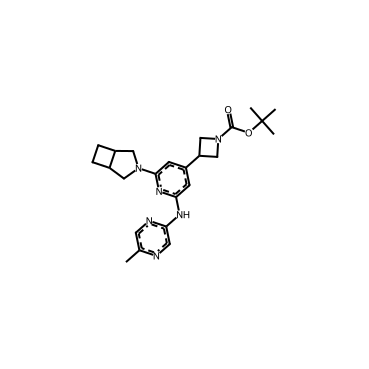 Cc1cnc(Nc2cc(C3CN(C(=O)OC(C)(C)C)C3)cc(N3CC4CCC4C3)n2)cn1